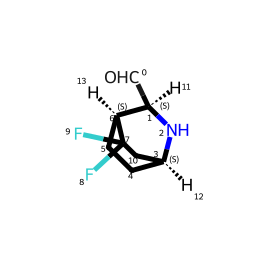 O=C[C@H]1N[C@H]2CC[C@@H]1C(F)(F)C2